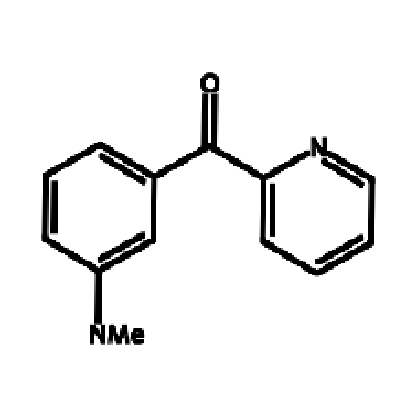 CNc1cccc(C(=O)c2ccccn2)c1